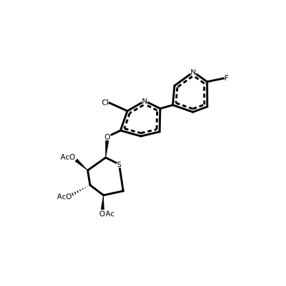 CC(=O)O[C@@H]1[C@@H](OC(C)=O)[C@@H](Oc2ccc(-c3ccc(F)nc3)nc2Cl)SC[C@H]1OC(C)=O